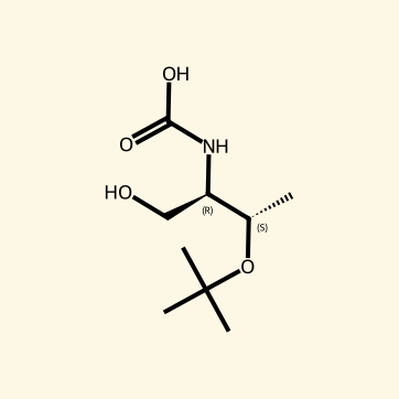 C[C@H](OC(C)(C)C)[C@@H](CO)NC(=O)O